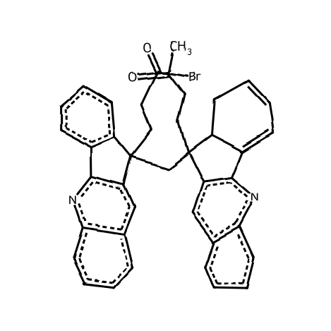 CC(=O)CCC1(CC2(CCC(=O)Br)c3ccccc3-c3nc4ccccc4cc32)c2cc3ccccc3nc2C2=CC=CCC21